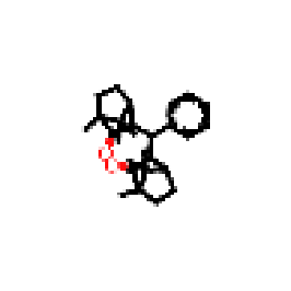 CC12CCC(C(C(c3ccccc3)C3C(=O)C4(C)CCC3C4(C)C)C1=O)C2(C)C